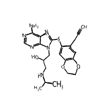 C#Cc1cc2c(cc1Sc1nc3c(N)ncnc3n1CC(O)CNC(C)C)OCCO2